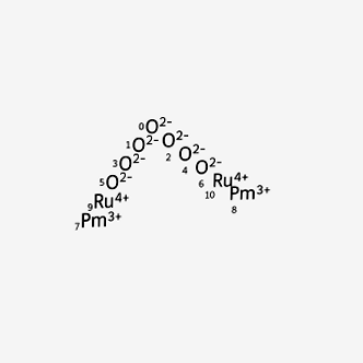 [O-2].[O-2].[O-2].[O-2].[O-2].[O-2].[O-2].[Pm+3].[Pm+3].[Ru+4].[Ru+4]